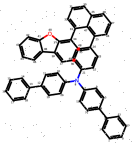 c1ccc(-c2ccc(N(c3ccc(-c4ccccc4)cc3)c3ccc(-c4cccc5cccc(-c6cccc7c6oc6ccccc67)c45)cc3)cc2)cc1